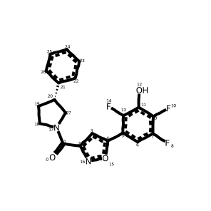 O=C(c1cc(-c2cc(F)c(F)c(O)c2F)on1)N1CC[C@H](c2ccccc2)C1